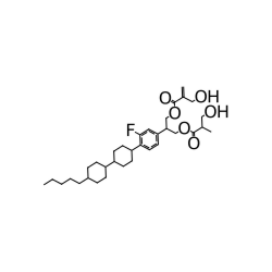 C=C(CO)C(=O)OCC(COC(=O)C(C)CO)c1ccc(C2CCC(C3CCC(CCCCC)CC3)CC2)c(F)c1